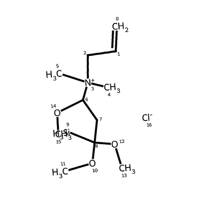 C=CC[N+](C)(C)C(CC([SiH3])(OC)OC)OC.[Cl-]